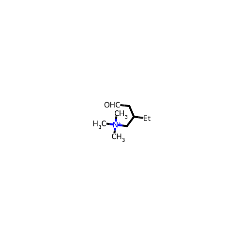 CCC(CC=O)C[N+](C)(C)C